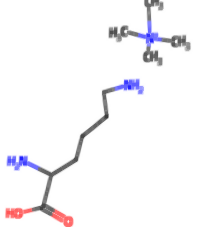 C[N+](C)(C)C.NCCCCC(N)C(=O)O